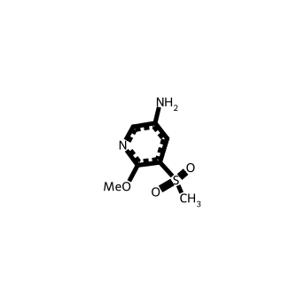 COc1ncc(N)cc1S(C)(=O)=O